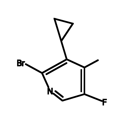 Cc1c(F)cnc(Br)c1C1CC1